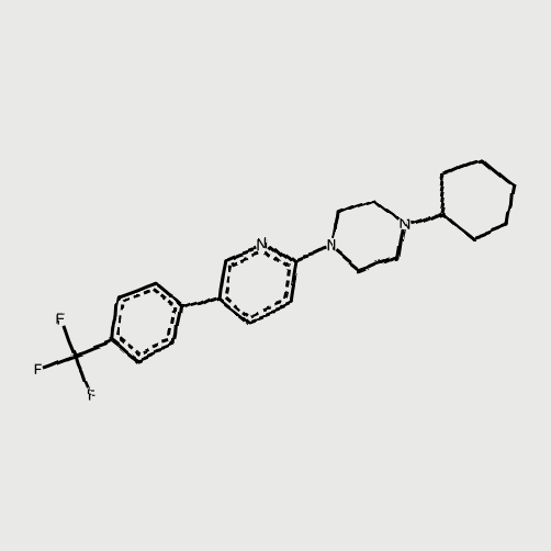 FC(F)(F)c1ccc(-c2ccc(N3CCN(C4CCCCC4)CC3)nc2)cc1